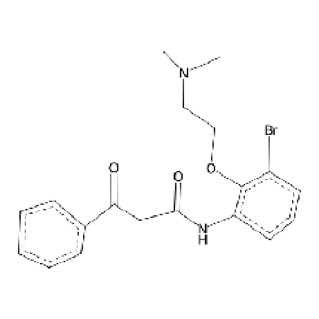 CN(C)CCOc1c(Br)cccc1NC(=O)CC(=O)c1ccccc1